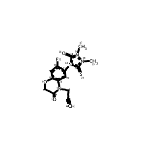 C#CCN1C(=O)COc2cc(F)c(-n3c(=O)n(C)n(C)c3=S)cc21